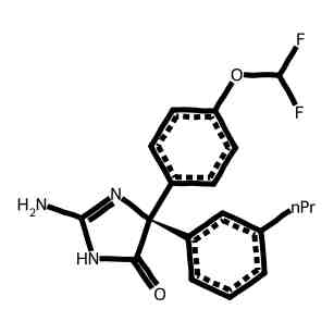 CCCc1cccc([C@]2(c3ccc(OC(F)F)cc3)N=C(N)NC2=O)c1